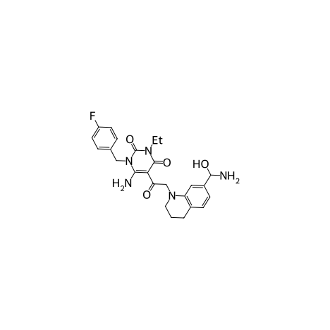 CCn1c(=O)c(C(=O)CN2CCCc3ccc(C(N)O)cc32)c(N)n(Cc2ccc(F)cc2)c1=O